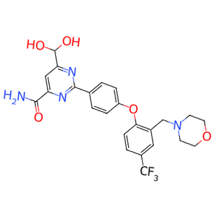 NC(=O)c1cc(C(O)O)nc(-c2ccc(Oc3ccc(C(F)(F)F)cc3CN3CCOCC3)cc2)n1